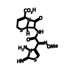 CON=C(C(=O)N[C@@H]1C(=O)N2C(C(=O)O)=CCS[C@@H]12)c1csc(=N)n1N